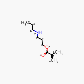 C=C(C)C(=O)OCCCNCCC